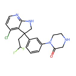 O=C1CNCCN1c1cccc(C2(CC(F)F)CNc3nccc(Cl)c32)c1